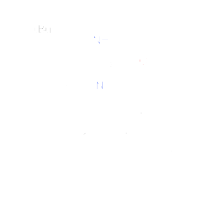 CC(C)(C)c1cn(C2C3CC4CC(C3)CC2C4)c(=O)[nH]1